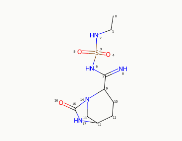 CCNS(=O)(=O)NC(=N)C1CCC2CN1C(=O)N2